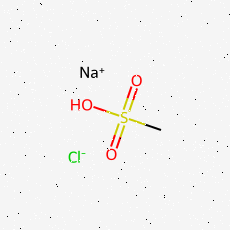 CS(=O)(=O)O.[Cl-].[Na+]